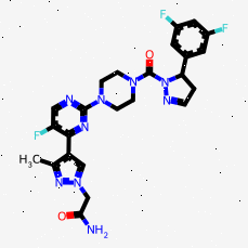 Cc1nn(CC(N)=O)cc1-c1nc(N2CCN(C(=O)N3N=CCC3c3cc(F)cc(F)c3)CC2)ncc1F